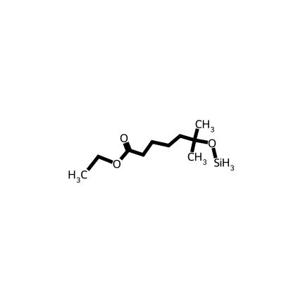 CCOC(=O)CCCCC(C)(C)O[SiH3]